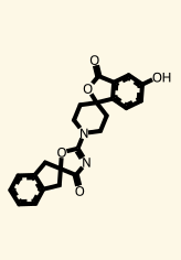 O=C1OC2(CCN(C3=NC(=O)C4(Cc5ccccc5C4)O3)CC2)c2ccc(O)cc21